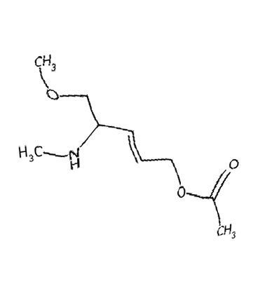 CNC(/C=C/COC(C)=O)COC